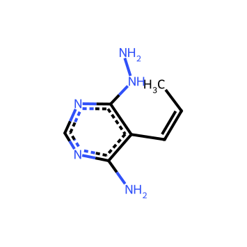 C/C=C\c1c(N)ncnc1NN